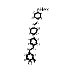 CCCCCC[C@H]1CC[C@H](CC[C@H]2CC[C@H](c3ccc(CCc4ccc(Cl)c(F)c4)cc3)CC2)CC1